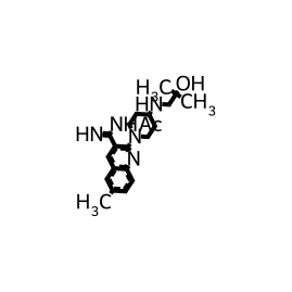 CC(=O)NC(=N)c1cc2cc(C)ccc2nc1N1CCC(NCC(C)(C)O)CC1